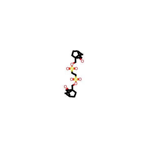 CC1(C)C2CCC1(COS(=O)(=O)CCS(=O)(=O)OCC13CCC(CC1=O)C3(C)C)C(=O)C2